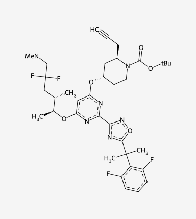 C#CC[C@@H]1C[C@@H](Oc2cc(O[C@@H](C)[C@@H](C)CC(F)(F)CNC)nc(-c3noc(C(C)(C)c4c(F)cccc4F)n3)n2)CCN1C(=O)OC(C)(C)C